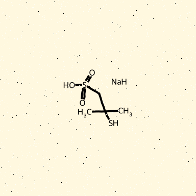 CC(C)(S)CS(=O)(=O)O.[NaH]